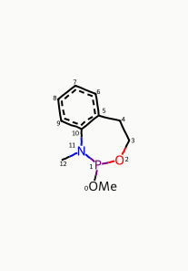 COP1OCCc2ccccc2N1C